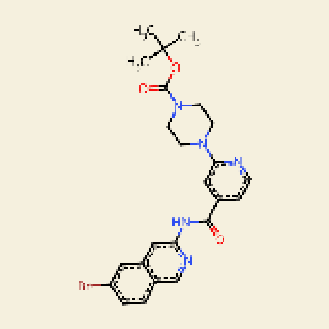 CC(C)(C)OC(=O)N1CCN(c2cc(C(=O)Nc3cc4cc(Br)ccc4cn3)ccn2)CC1